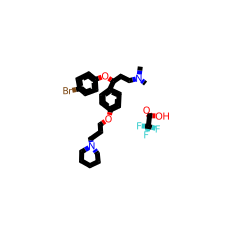 CN(C)CCC(Oc1ccc(Br)cc1)c1ccc(OCCCN2CCCCC2)cc1.O=C(O)C(F)(F)F